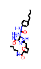 CCCCc1ccc(NC(=O)Nc2[nH]c(Cc3ccc(C(=O)N(C)CCCC)o3)nc2C(N)=O)cc1